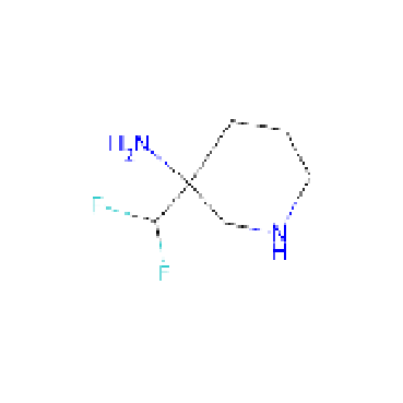 NC1(C(F)F)CCCNC1